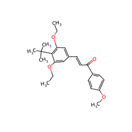 CCOc1cc(C=CC(=O)c2ccc(OC)cc2)cc(OCC)c1C(C)(C)C